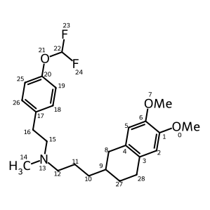 COc1cc2c(cc1OC)CC(CCCN(C)CCc1ccc(OC(F)F)cc1)CC2